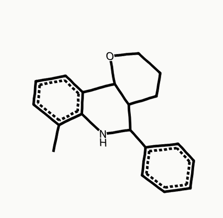 Cc1cccc2c1NC(c1ccccc1)C1CCCOC21